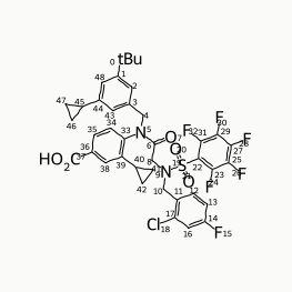 CC(C)(C)c1cc(CN(C(=O)CN(Cc2ccc(F)cc2Cl)S(=O)(=O)c2c(F)c(F)c(F)c(F)c2F)c2ccc(C(=O)O)cc2C2CC2)cc(C2CC2)c1